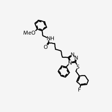 COc1ccccc1CNC(=O)CCCCc1nnc(SCC2=CC(F)=CCC2)n1-c1ccccc1